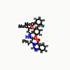 COC(=O)CC(NC(=O)C(CC(C)C)n1cnc2ccccc2c1=O)c1cccc(-c2c(F)cccc2OC)c1